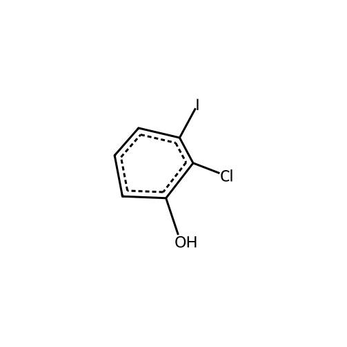 Oc1cccc(I)c1Cl